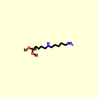 CCO[SiH](CCCCNCCCCCN)OCC